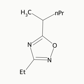 CCCC(C)c1nc(CC)no1